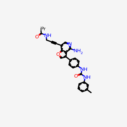 Cc1cccc(NC(=O)Nc2ccc(-c3coc4c(C#CCNC(=O)C(C)C)cnc(N)c34)cc2)c1